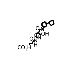 CN(C(=O)c1cnc(NC(=O)CCC(=O)O)nc1O)c1cccc(C2CCCC2)c1